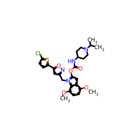 COc1ccc(OC)c2c1cc(OC(=O)NC1CCN(C(C)C)CC1)n2Cc1cc(-c2ccc(Cl)s2)on1